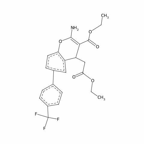 CCOC(=O)CC1C(C(=O)OCC)=C(N)Oc2ccc(-c3ccc(C(F)(F)F)cc3)cc21